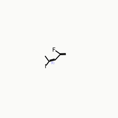 C=C(F)/C=C(\C)I